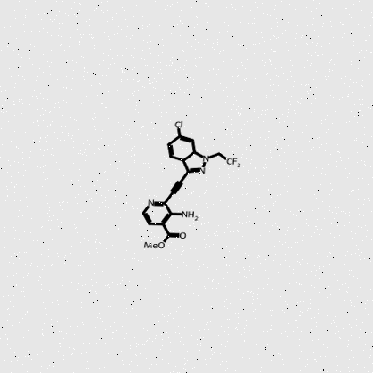 COC(=O)c1ccnc(C#CC2=NN(CC(F)(F)F)C3C=C(Cl)C=CC23)c1N